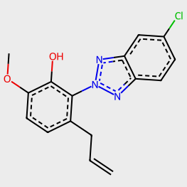 C=CCc1ccc(OC)c(O)c1-n1nc2ccc(Cl)cc2n1